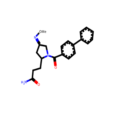 CO/N=C1/CC(CCC(N)=O)N(C(=O)c2ccc(-c3ccccc3)cc2)C1